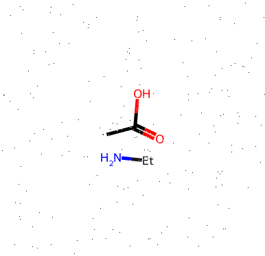 [CH2]C(=O)O.[CH2]CN